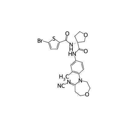 Cc1cc(NC(=O)[C@@]2(NC(=O)c3ccc(Br)s3)CCOC2)ccc1N1CCOCC/C1=N\C#N